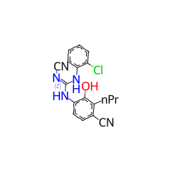 CCCc1c(C#N)ccc(N/C(=N/C#N)Nc2ccccc2Cl)c1O